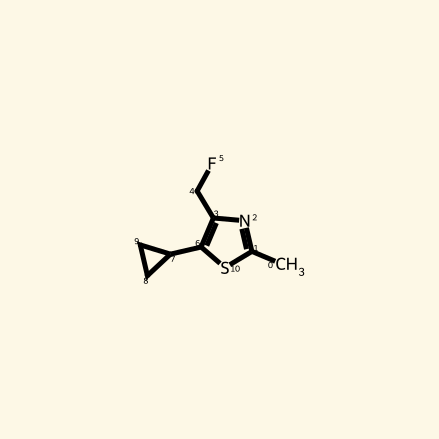 Cc1nc(CF)c(C2CC2)s1